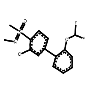 CN=S(C)(=O)c1ccc(-c2ccccc2OC(F)F)cc1Cl